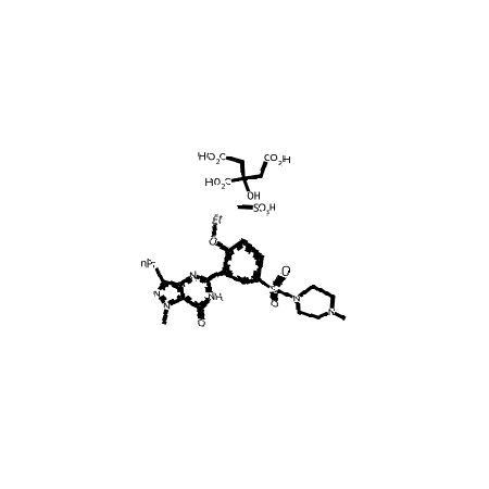 CCCc1nn(C)c2c(=O)[nH]c(-c3cc(S(=O)(=O)N4CCN(C)CC4)ccc3OCC)nc12.CS(=O)(=O)O.O=C(O)CC(O)(CC(=O)O)C(=O)O